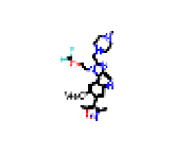 COc1cc2c(cc1-c1c(C)noc1C)ncc1nc(CN3CCN(C)CC3)n(CCOC(F)F)c12